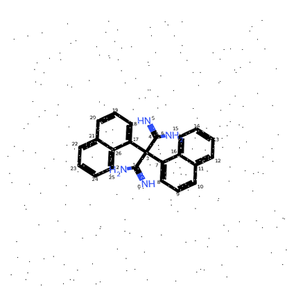 N=C(N)C(C(=N)N)(c1cccc2ccccc12)c1cccc2ccccc12